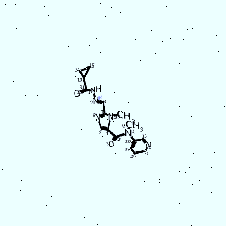 CN(C(=O)c1cnc(/C=N/NC(=O)C2CC2)n1C)c1cccnc1